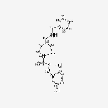 O=C(COc1cc(Cl)ccc1Cl)N1CCC(CNCc2ccccc2)CC1